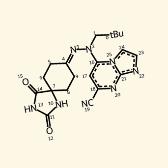 CC(C)(C)CN(N=C1CCC2(CC1)NC(=O)NC2=O)c1cc(C#N)nc2nccn12